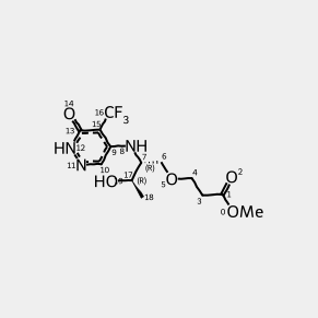 COC(=O)CCOC[C@@H](Nc1cn[nH]c(=O)c1C(F)(F)F)[C@@H](C)O